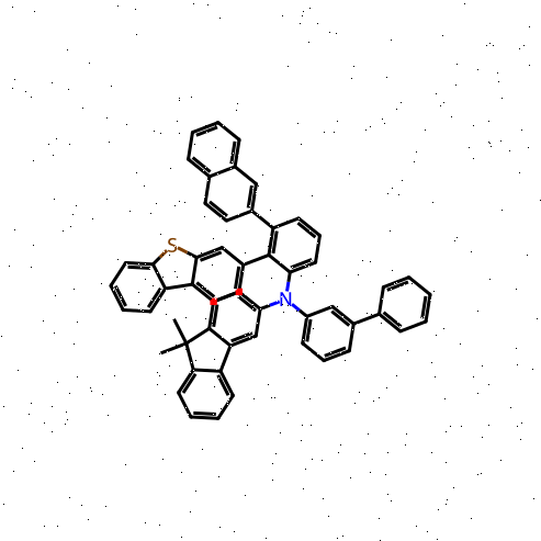 CC1(C)c2ccccc2-c2cc(N(c3cccc(-c4ccccc4)c3)c3cccc(-c4ccc5ccccc5c4)c3-c3ccc4c(c3)sc3ccccc34)ccc21